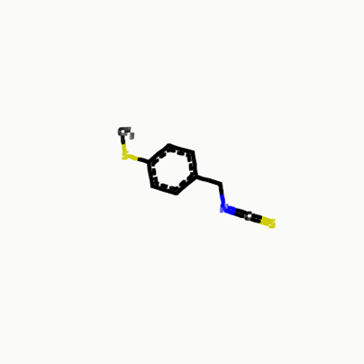 FC(F)(F)Sc1ccc(CN=C=S)cc1